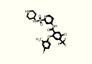 Cc1cc(F)ccc1Oc1cc(C(F)(F)F)c(Cl)cc1C(=O)Nc1ccnc(S(=O)(=O)NC2CCNCC2)c1